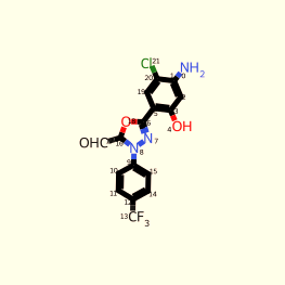 Nc1cc(O)c(C2=NN(c3ccc(C(F)(F)F)cc3)C(C=O)O2)cc1Cl